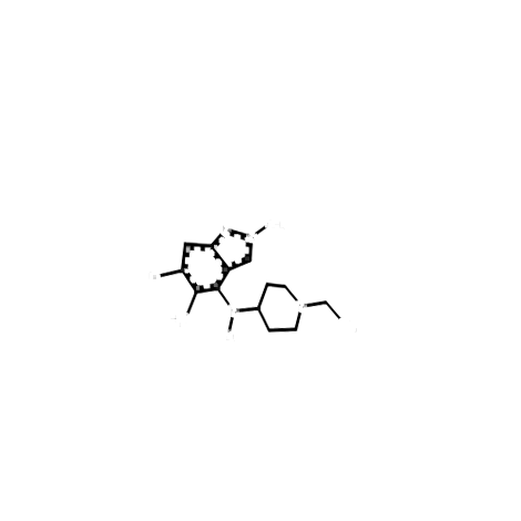 CCN(c1c(C)c(Br)cc2nn(C)cc12)C1CCN(CC(F)(F)F)CC1